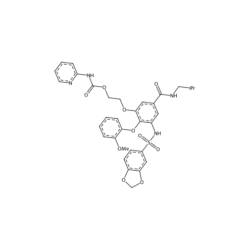 COc1ccccc1Oc1c(NS(=O)(=O)c2ccc3c(c2)OCO3)cc(C(=O)NCC(C)C)cc1OCCOC(=O)Nc1ccccn1